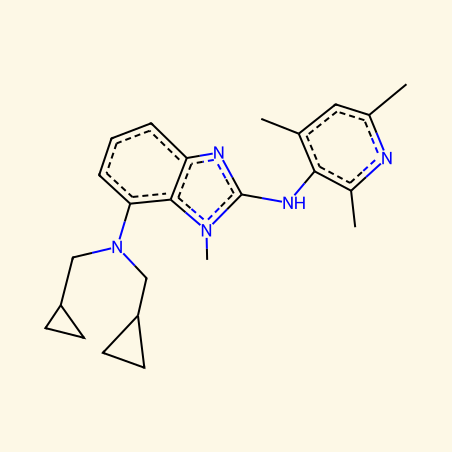 Cc1cc(C)c(Nc2nc3cccc(N(CC4CC4)CC4CC4)c3n2C)c(C)n1